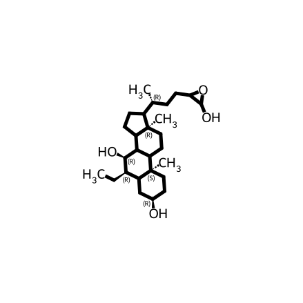 CC[C@@H]1C2C[C@H](O)CC[C@]2(C)C2CC[C@@]3(C)C(CCC3[C@H](C)CCC3OC3O)C2[C@@H]1O